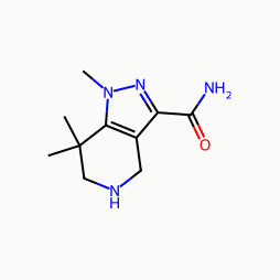 Cn1nc(C(N)=O)c2c1C(C)(C)CNC2